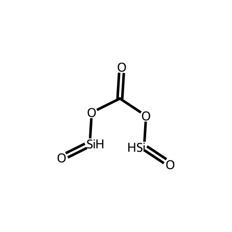 O=[SiH]OC(=O)O[SiH]=O